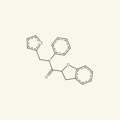 O=C(C1Cc2ccccc2O1)N(Cc1cccs1)c1ccccc1